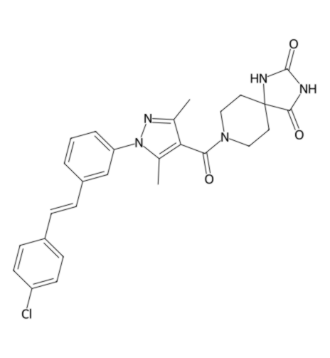 Cc1nn(-c2cccc(/C=C/c3ccc(Cl)cc3)c2)c(C)c1C(=O)N1CCC2(CC1)NC(=O)NC2=O